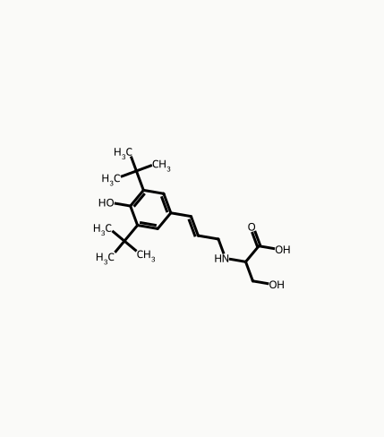 CC(C)(C)c1cc(C=CCNC(CO)C(=O)O)cc(C(C)(C)C)c1O